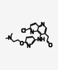 CN(C)CCOc1ccc(Nc2c(CC=O)cnc3ccc(Cl)nc23)cn1